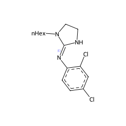 CCCCCCN1CCN/C1=N\c1ccc(Cl)cc1Cl